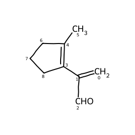 C=C(C=O)C1=C(C)CCC1